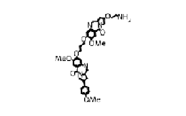 COc1ccc(C2=CN3C(=O)c4cc(OC)c(OCCCOc5cc6c(cc5OC)C(=O)N5C=C(OCCN)CC5C=N6)cc4N=CC3C2)cc1